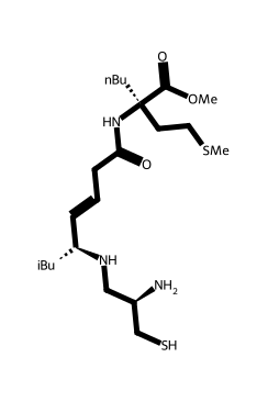 CCCC[C@](CCSC)(NC(=O)C/C=C/[C@@H](NC[C@@H](N)CS)[C@@H](C)CC)C(=O)OC